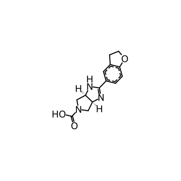 O=C(O)N1C[C@@H]2N=C(c3ccc4c(c3)CCO4)N[C@@H]2C1